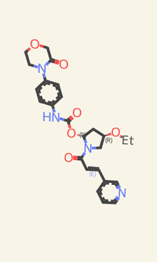 CCO[C@@H]1C[C@@H](OC(=O)Nc2ccc(N3CCOCC3=O)cc2)N(C(=O)/C=C/c2cccnc2)C1